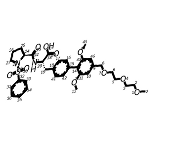 COCCOCCOCc1cc(OC)c(-c2ccc(C[C@H](NC(=O)[C@@H]3CCCN3S(=O)(=O)c3ccccc3)C(=O)O)cc2)c(OC)c1